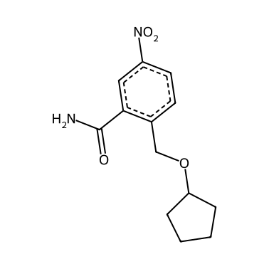 NC(=O)c1cc([N+](=O)[O-])ccc1COC1CCCC1